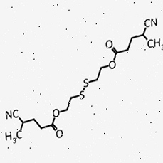 CC(C#N)CCC(=O)OCCSSCCOC(=O)CCC(C)C#N